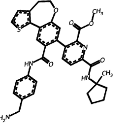 COC(=O)c1nc(C(=O)NC2(C)CCCC2)ccc1-c1cc2c(cc1C(=O)Nc1ccc(CN)cc1)-c1sccc1CCO2